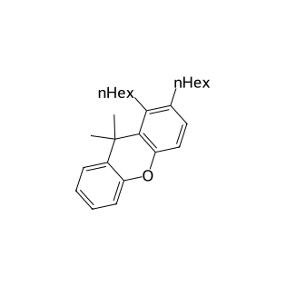 CCCCCCc1ccc2c(c1CCCCCC)C(C)(C)c1ccccc1O2